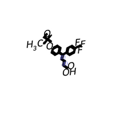 CCC1(COc2ccc(/C(=C/C=C/C(=O)O)c3ccc(C(F)(F)F)cc3)cc2)COC1